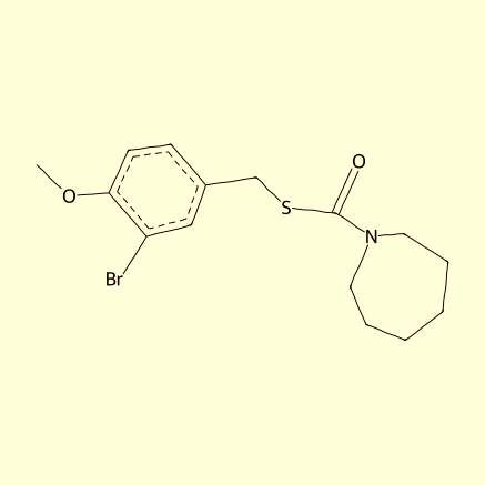 COc1ccc(CSC(=O)N2CCCCCC2)cc1Br